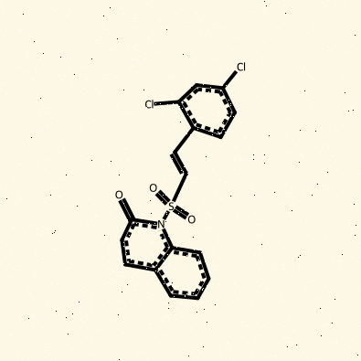 O=c1ccc2ccccc2n1S(=O)(=O)C=Cc1ccc(Cl)cc1Cl